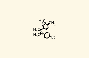 C=C(c1ccc(=C)c(=C)c1)N(C)C1CCC(CC)CC1